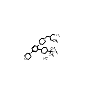 CCC(CC)CN1CCN(c2ccc(N3CCOCC3)cc2C2CCC(C(C)(C)C)CC2)CC1.Cl